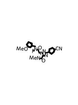 CNC(=O)c1nc(-c2ccc(C#N)cc2)nn1CC(=O)N(F)Cc1cccc(OC)c1